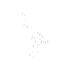 CN(C)CC=CC(=O)N1CC2CC(n3nc(-c4ccc(Oc5ccccc5)cc4)c4c(N)ncnc43)CC2C1